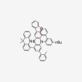 CCCCc1ccc(N2c3cc4oc5ccccc5c4cc3B3c4c(cc(-c5ccccc5C)cc42)-c2cccc4c2N3c2ccccc2C4(C)C)c(-c2ccccc2)c1